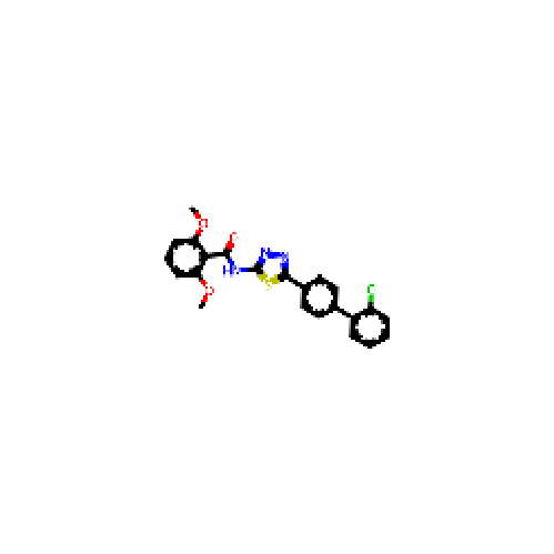 COc1cccc(OC)c1C(=O)Nc1nnc(-c2ccc(-c3ccccc3Cl)cc2)s1